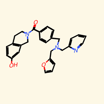 O=C(c1ccc(CN(Cc2ccccn2)Cc2ccco2)cc1)N1CCc2ccc(O)cc2C1